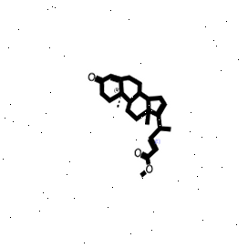 COC(=O)/C=C/C(C)C1=CCC2C3CCC4=CC(=O)CC[C@]4(C)C3CCC12C